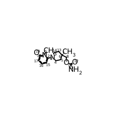 Cn1c(N2CCC(C)(COC(N)=O)CC2)cccc1=O